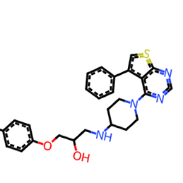 Cc1ccc(OCC(O)CNC2CCN(c3ncnc4scc(-c5ccccc5)c34)CC2)cc1